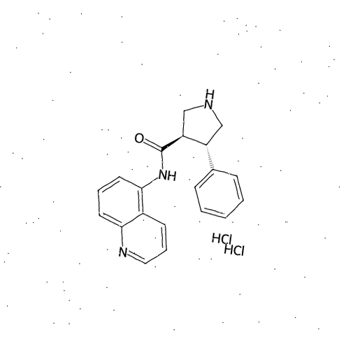 Cl.Cl.O=C(Nc1cccc2ncccc12)[C@H]1CNC[C@@H]1c1ccccc1